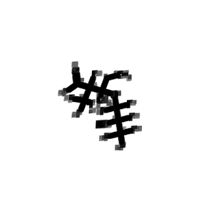 CCC(C)(OC(F)(F)C(O)(F)C(F)(F)F)C(F)(C(=O)F)C(F)(F)F